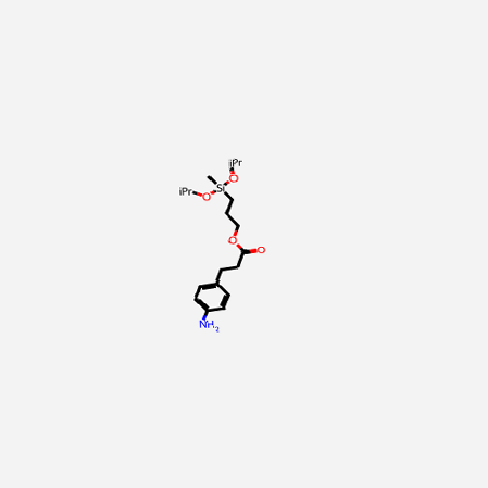 CC(C)O[Si](C)(CCCOC(=O)CCc1ccc(N)cc1)OC(C)C